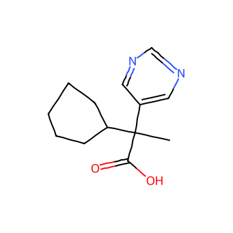 CC(C(=O)O)(c1cncnc1)C1CCCCC1